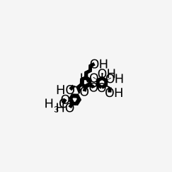 COc1cc([C@H]2Oc3c(O[C@@H]4O[C@H](CO)[C@@H](O)[C@H](O)[C@H]4O)cc(CCCO)cc3[C@@H]2CO)ccc1O